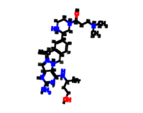 CCCC(CCO)Nc1nc(N)nc2cnn(Cc3ccc(C4CN(C(=O)CCN(C)C)CCN4)cc3OC)c12